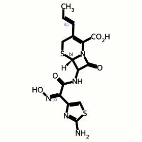 C/C=C/C1=C(C(=O)O)N2C(=O)C(NC(=O)/C(=N\O)c3csc(N)n3)[C@@H]2SC1